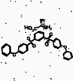 CC(C)[C@H](N)C(=O)O.O=S(=O)(c1ccc(Oc2ccccc2)cc1)c1cccc(S(=O)(=O)c2ccc(Oc3ccccc3)cc2)c1